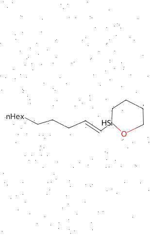 CCCCCCCCCC=C[SiH]1CCCCO1